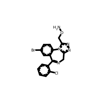 NOCc1nnc2n1-c1ccc(Br)cc1C(c1ccccc1Cl)=NC2